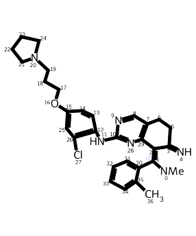 CN/C(=C1\C(=N)CCc2cnc(Nc3ccc(OCCCN4CCCC4)cc3Cl)nc21)c1ccccc1C